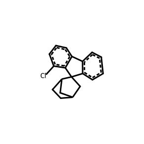 Clc1cccc2c1C1(CC3CCC1C3)c1ccccc1-2